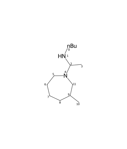 CCCCNC(C)N1CCCCC(C)C1